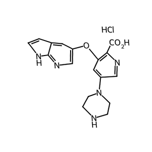 Cl.O=C(O)c1ncc(N2CCNCC2)cc1Oc1cnc2[nH]ccc2c1